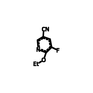 CCOc1ncc(C#N)cc1F